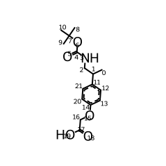 CC(CNC(=O)OC(C)(C)C)c1ccc(OCC(=O)O)cc1